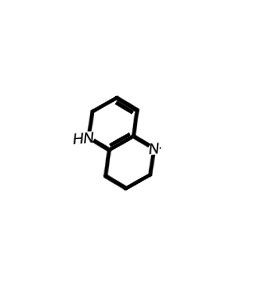 C1=CC2=C(CCC[N]2)NC1